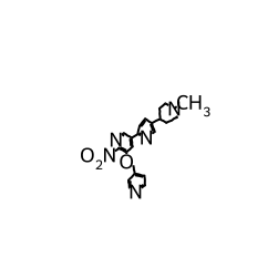 CN1CCC(c2ccc(-c3cnc([N+](=O)[O-])c(OCc4ccncc4)c3)nc2)CC1